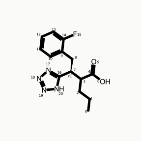 CCCC(C(=O)O)[C@H](Cc1ccccc1F)c1nnn[nH]1